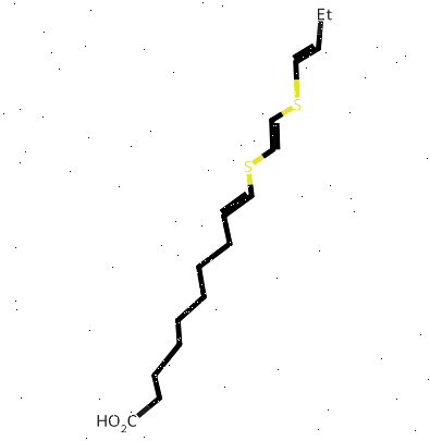 CCC=CSC=CSC=CCCCCCCCC(=O)O